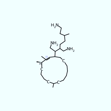 C/C1=C/C(C(CN)C(CN)CCC(C)CCN)CCCCCCCC(C)CCCC[C@H]1C